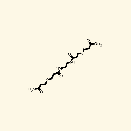 NC(=O)CCSCCC(=O)NCCNC(=O)CCSCCC(N)=O